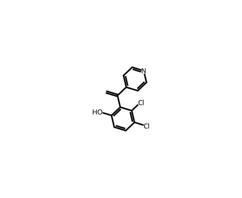 C=C(c1ccncc1)c1c(O)ccc(Cl)c1Cl